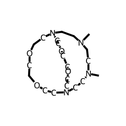 CN1CCN(C)CCN2CCOCCOCCN(CCOCCOCC2)CC1